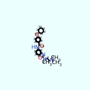 CN(C)CCN(C)c1nc2cc(NC(=O)c3ccc(OC4CCCCC4)cc3)ccc2o1